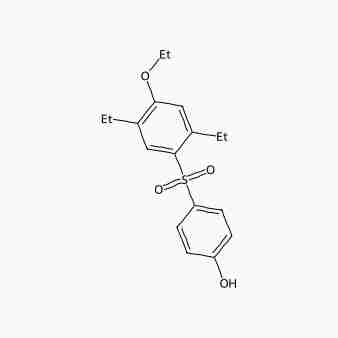 CCOc1cc(CC)c(S(=O)(=O)c2ccc(O)cc2)cc1CC